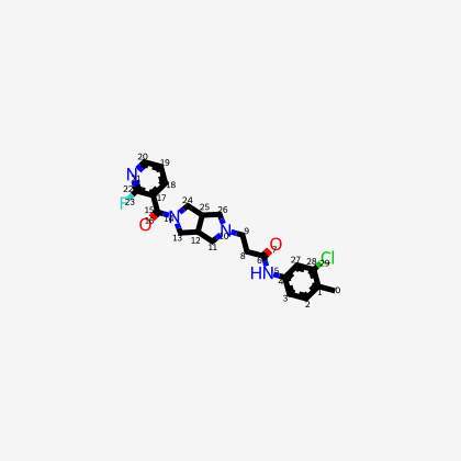 Cc1ccc(NC(=O)CCN2CC3CN(C(=O)c4cccnc4F)CC3C2)cc1Cl